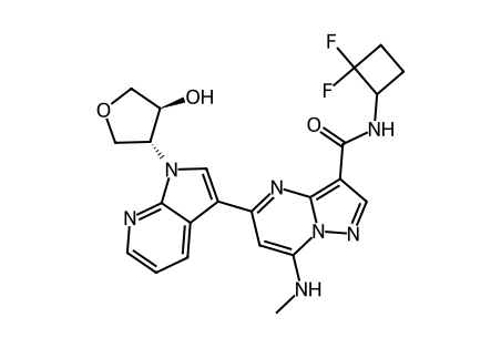 CNc1cc(-c2cn([C@@H]3COC[C@H]3O)c3ncccc23)nc2c(C(=O)NC3CCC3(F)F)cnn12